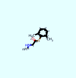 CCCNCC(=O)Sc1c(C)cccc1C